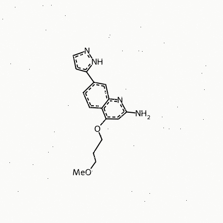 COCCCOc1cc(N)nc2cc(-c3ccn[nH]3)ccc12